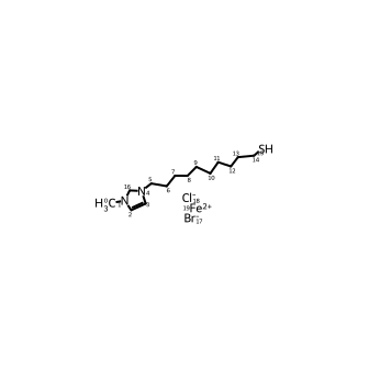 CN1C=CN(CCCCCCCCCCS)C1.[Br-].[Cl-].[Fe+2]